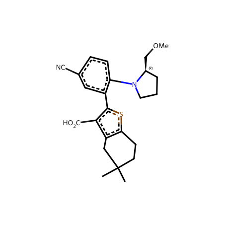 COC[C@H]1CCCN1c1ccc(C#N)cc1-c1sc2c(c1C(=O)O)CC(C)(C)CC2